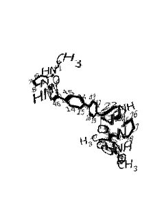 CCNC(=O)[C@@H]1CCCN1c1nc(-c2ccc(-c3ccc(-c4c[nH]c([C@@H]5CCCN5C(=O)[C@@H](NC(=O)OC)C(C)C)n4)cc3)cc2)c[nH]1